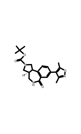 Cc1noc(C)c1-c1ccc2c(c1)C(=O)NC[C@H]1CN(C(=O)OC(C)(C)C)CC21